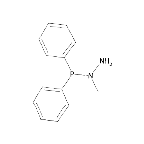 CN(N)P(c1ccccc1)c1ccccc1